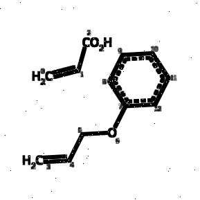 C=CC(=O)O.C=CCOc1ccccc1